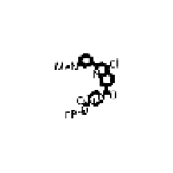 CCCOC(=O)N1CCN(C(=O)c2ccc3c(Cl)cc(-c4cccc(NC)c4)nc3c2)CC1